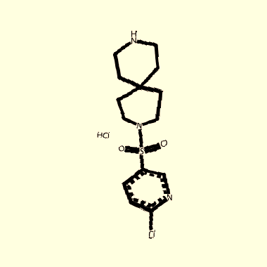 Cl.O=S(=O)(c1ccc(Cl)nc1)N1CCC2(CCNCC2)CC1